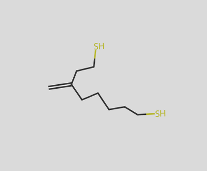 C=C(CCS)CCCCCS